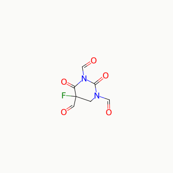 O=CN1CC(F)(C=O)C(=O)N(C=O)C1=O